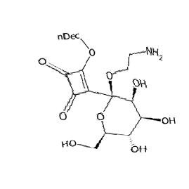 CCCCCCCCCCOc1c([C@@]2(OCCN)O[C@H](CO)[C@@H](O)[C@H](O)[C@@H]2O)c(=O)c1=O